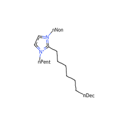 CCCCCCCCCCCCCCCCc1n(CCCCCCCCC)cc[n+]1CCCCC